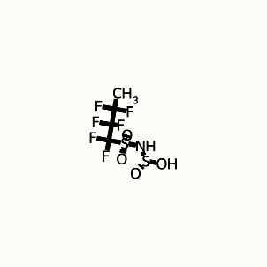 CC(F)(F)C(F)(F)C(F)(F)S(=O)(=O)NS(=O)O